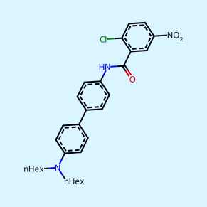 CCCCCCN(CCCCCC)c1ccc(-c2ccc(NC(=O)c3cc([N+](=O)[O-])ccc3Cl)cc2)cc1